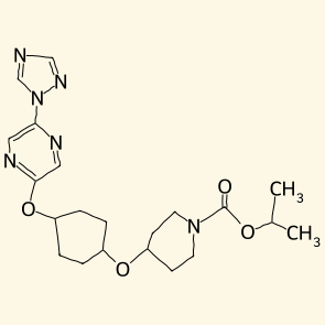 CC(C)OC(=O)N1CCC(OC2CCC(Oc3cnc(-n4cncn4)cn3)CC2)CC1